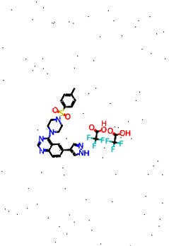 Cc1ccc(S(=O)(=O)N2CCN(c3ncnc4ccc(-c5cn[nH]c5)cc34)CC2)cc1.O=C(O)C(F)(F)F.O=C(O)C(F)(F)F